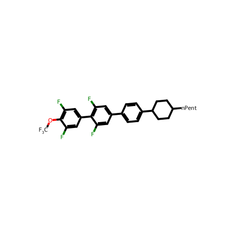 CCCCCC1CCC(c2ccc(-c3cc(F)c(-c4cc(F)c(OC(F)(F)F)c(F)c4)c(F)c3)cc2)CC1